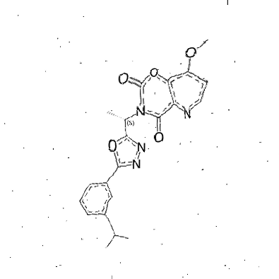 COc1ccnc2c(=O)n([C@@H](C)c3nnc(-c4cccc(C(C)C)c4)o3)c(=O)oc12